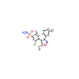 NS(=O)(=O)c1cc(F)c(-c2c(-c3cccc(Cl)c3)noc2CF)cc1F